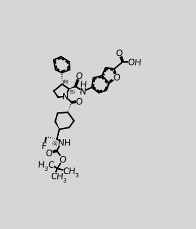 CC(C)(C)OC(=O)N[C@H](CF)[C@H]1CC[C@H](C(=O)N2CC[C@H](c3ccccc3)[C@H]2C(=O)Nc2ccc3oc(C(=O)O)cc3c2)CC1